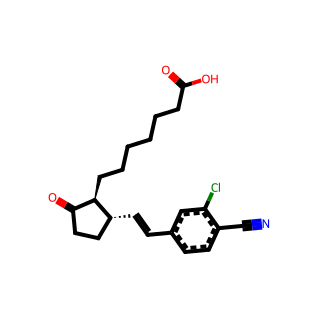 N#Cc1ccc(C=C[C@@H]2CCC(=O)[C@H]2CCCCCCC(=O)O)cc1Cl